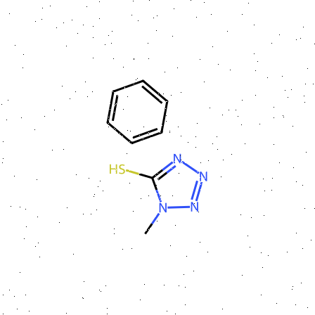 Cn1nnnc1S.c1ccccc1